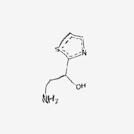 NCC(O)c1nccs1